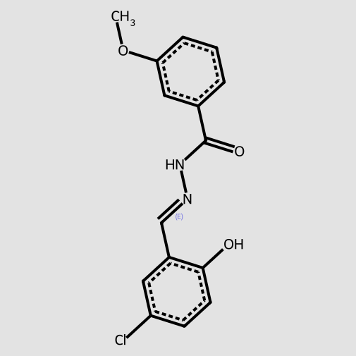 COc1cccc(C(=O)N/N=C/c2cc(Cl)ccc2O)c1